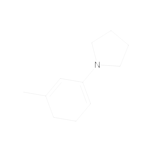 CC1=CC(N2CCCC2)=CCC1